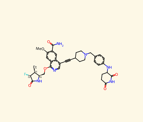 CC[C@@H]1[C@H](F)C(=O)N[C@@H]1COc1ncc(C#CC2CCN(Cc3ccc(NC4CCC(=O)NC4=O)cc3)CC2)c2cc(C(N)=O)c(OC)cc12